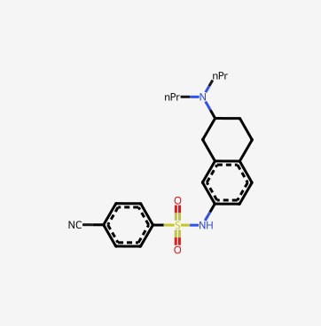 CCCN(CCC)C1CCc2ccc(NS(=O)(=O)c3ccc(C#N)cc3)cc2C1